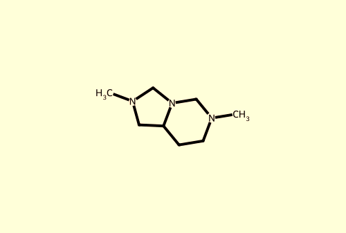 CN1CCC2CN(C)CN2C1